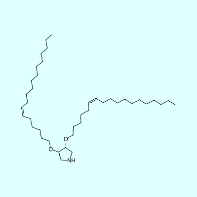 CCCCCCCCCCC/C=C\CCCCCOC1CNC[C@H]1OCCCCC/C=C\CCCCCCCCCCC